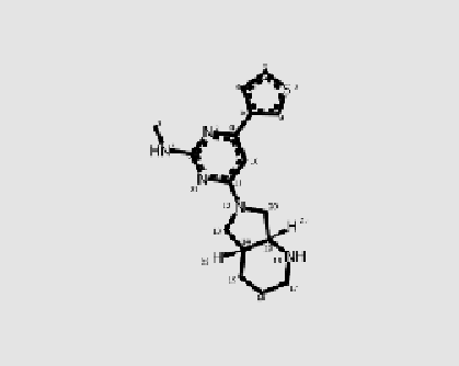 CNc1nc(-c2ccsc2)cc(N2C[C@H]3CCCN[C@H]3C2)n1